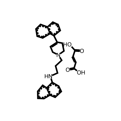 C1=C(c2cccc3ccccc23)CCN(CCCNc2cccc3ccccc23)C1.O=C(O)C=CC(=O)O